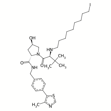 Cc1ncsc1-c1ccc(CNC(=O)[C@@H]2C[C@@H](O)CN2C(=O)[C@@H](NCCCCCCCCCI)C(C)(C)C)cc1